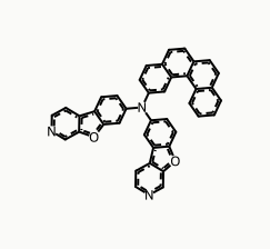 c1ccc2c(c1)ccc1ccc3ccc(N(c4ccc5c(c4)oc4cnccc45)c4ccc5oc6cnccc6c5c4)cc3c12